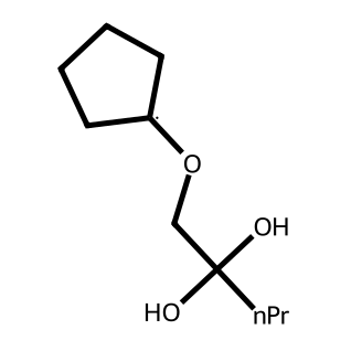 CCCC(O)(O)CO[C]1CCCC1